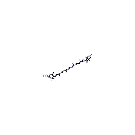 CC1=C(/C=C/C(C)=C/C=C/C(C)=C/C=C/C=C(C)/C=C/C=C(C)/C=C/C(=O)[C@]2(C)C[C@@H](C)CC2(C)C)C(C)(C)C[C@H](O)C1